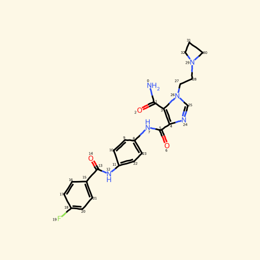 NC(=O)c1c(C(=O)Nc2ccc(NC(=O)c3ccc(F)cc3)cc2)ncn1CCN1CCC1